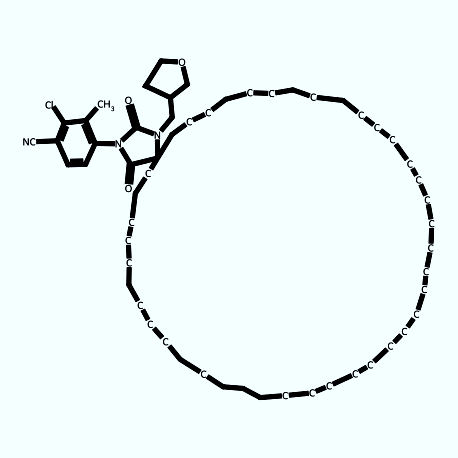 Cc1c(N2C(=O)N(CC3CCOC3)C3(CCCCCCCCCCCCCCCCCCCCCCCCCCCCCCCCCCCCCCCCC3)C2=O)ccc(C#N)c1Cl